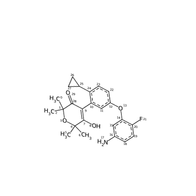 CC1(C)OC(C)(C)C(O)=C(c2cc(Oc3cc(N)ccc3F)ccc2C2CC2)C1=O